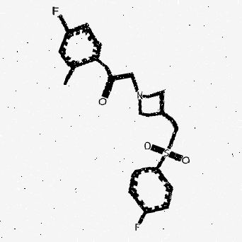 Cc1cc(F)ccc1C(=O)CN1CC(CS(=O)(=O)c2ccc(F)cc2)C1